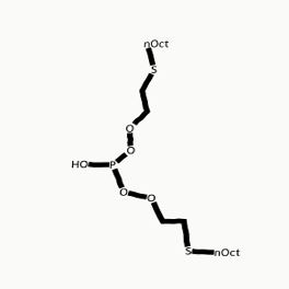 CCCCCCCCSCCOOP(O)OOCCSCCCCCCCC